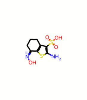 Nc1sc2c(c1S(=O)(=O)O)CCC/C2=N/O